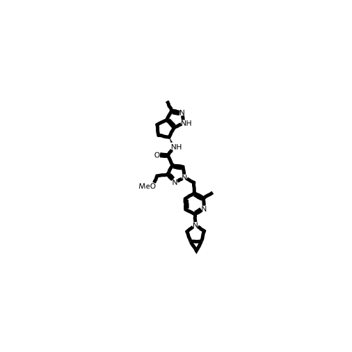 COCc1nn(Cc2ccc(N3CC4CC4C3)nc2C)cc1C(=O)N[C@@H]1CCc2c(C)n[nH]c21